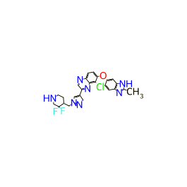 Cc1nc2ccc(Oc3ccc4ncc(-c5cnn(CC6CCNCC6(F)F)c5)nc4c3Cl)cc2[nH]1